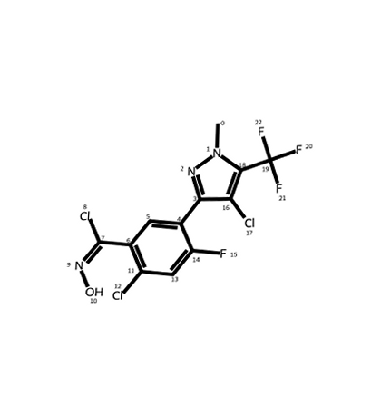 Cn1nc(-c2cc(/C(Cl)=N\O)c(Cl)cc2F)c(Cl)c1C(F)(F)F